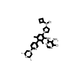 CCN(C1CCC1)[C@@H]1CCN(c2cc(C)c(-c3ccc(N4C[C@@H](C)O[C@@H](C)C4)nc3)c(C)c2Nc2ncnc(Cl)c2N)C1